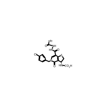 CCCC(=O)NNC(=O)c1cn(Cc2ccc(Cl)cc2)c(=O)c2c1SC[C@@H]2NC(=O)O